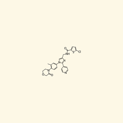 Cc1cc(-n2cc(CNC(=O)c3ccc(Cl)s3)nc2-c2ccncc2)ccc1N1CCOCC1=O